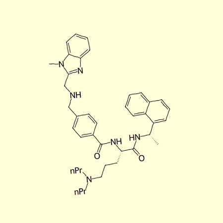 CCCN(CCC)CCC[C@H](NC(=O)c1ccc(CNCc2nc3ccccc3n2C)cc1)C(=O)N[C@@H](C)c1cccc2ccccc12